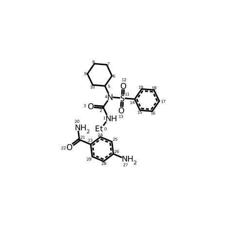 CCNC(=O)N(C1CCCCC1)S(=O)(=O)c1ccccc1.NC(=O)c1ccc(N)cc1